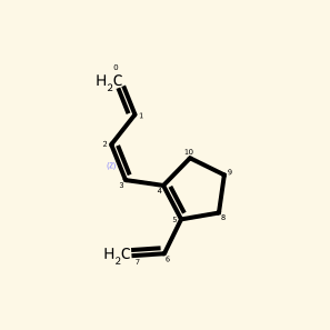 C=C/C=C\C1=C(C=C)CCC1